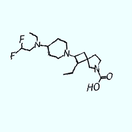 CCC1C(N2CCC(N(CC)CC(F)F)CC2)CC12CCN(C(=O)O)C2